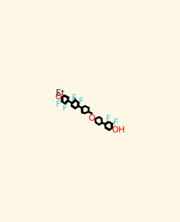 CCOc1ccc(-c2ccc(C3=CCC(COC4CCC(c5ccc(O)c(F)c5F)CC4)CC3)c(F)c2F)c(F)c1F